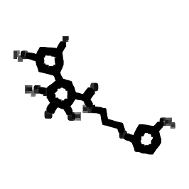 Cc1cccc(OCCCNC(=O)c2cc(-c3cc(F)cc(C(F)(F)F)c3)n(C)c(=O)c2O)c1